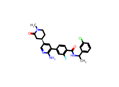 CC(NC(=O)c1ccc(-c2cc([C@@H]3CCN(C)C(=O)C3)cnc2N)cc1F)c1cccc(Cl)c1